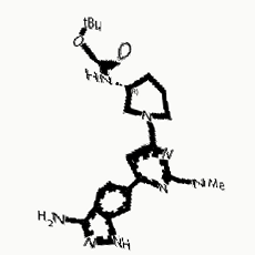 CNc1nc(-c2ccc3c(N)n[nH]c3c2)cc(N2CCC[C@@H](NC(=O)OC(C)(C)C)C2)n1